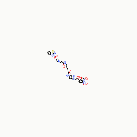 CN(CCCCC(=O)Nc1ccc(CNC[C@H](O)c2ccc(O)c3[nH]c(=O)ccc23)cc1)C(=O)CCN1CCC(OC(=O)Nc2ncsc2-c2ccccc2)CC1